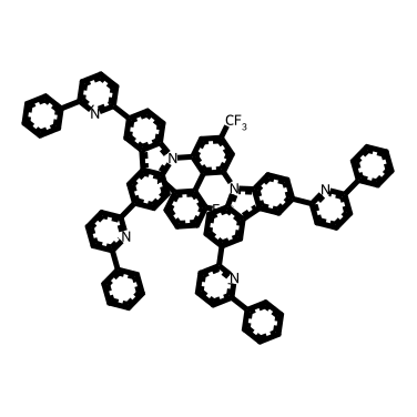 Fc1cccc(F)c1-c1c(-n2c3ccc(-c4cccc(-c5ccccc5)n4)cc3c3cc(-c4cccc(-c5ccccc5)n4)ccc32)cc(C(F)(F)F)cc1-n1c2ccc(-c3cccc(-c4ccccc4)n3)cc2c2cc(-c3cccc(-c4ccccc4)n3)ccc21